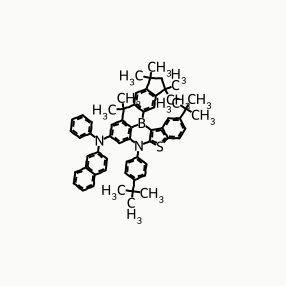 CC(C)(C)c1ccc(N2c3cc(N(c4ccccc4)c4ccc5ccccc5c4)cc4c3B(c3cc5c(cc3C4(C)C)C(C)(C)CC5(C)C)c3c2sc2ccc(C(C)(C)C)cc32)cc1